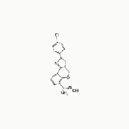 NC(=NO)c1cccc2c1OCC1CN(c3ccc(Cl)cc3)N=C21